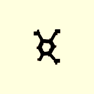 Cc1cc(O)c(S)cc1O